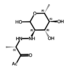 CC(=O)C(=O)[C@H](C)NN[C@H]1C(O)O[C@H](C)[C@@H](O)[C@@H]1O